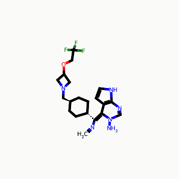 C=N/C(=C1/c2cc[nH]c2N=CN1N)[C@H]1CC[C@H](CN2CC(OCC(F)(F)F)C2)CC1